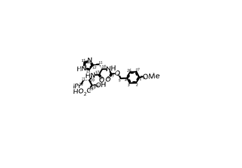 COc1ccc(COC(=O)N[C@@H](Cc2c[nH]cn2)C(=O)N[C@@H](CC(C)C)C(O)C(=O)O)cc1